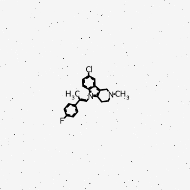 CC(=Cn1c2c(c3cc(Cl)ccc31)CN(C)CC2)c1ccc(F)cc1